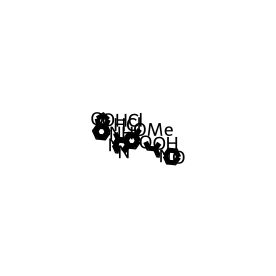 COc1cc2c(Nc3cccc4c3OCO4)ncnc2cc1OCC(O)CN1CCOCC1.Cl.Cl